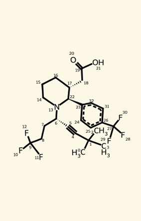 CC(C)(C)C#C[C@H](CCC(F)(F)F)N1CCC[C@H](CC(=O)O)[C@H]1c1ccc(C(F)(F)F)cc1